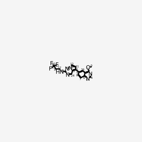 COc1ncnc2ccc(-c3ccn4nc(NCCC(F)(F)F)ncc34)cc12